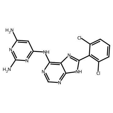 Nc1cc(Nc2ncnc3[nH]c(-c4c(Cl)cccc4Cl)nc23)nc(N)n1